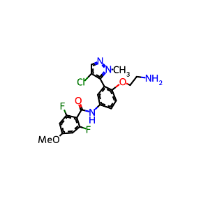 COc1cc(F)c(C(=O)Nc2ccc(OCCN)c(-c3c(Cl)cnn3C)c2)c(F)c1